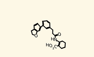 O=C(CCc1cccc(-c2ccc3c(c2)OCC3)c1)NC1=C(C(=O)O)CCCC1